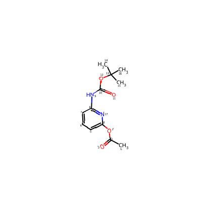 CC(=O)Oc1cccc(NC(=O)OC(C)(C)C)n1